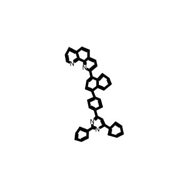 c1ccc(-c2cc(-c3ccc(-c4ccc(-c5ccc6ccc7cccnc7c6n5)c5ccccc45)cc3)nc(-c3ccccc3)n2)cc1